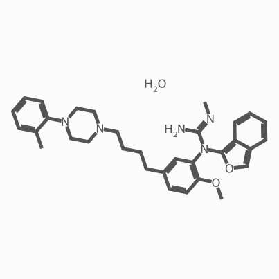 CN=C(N)N(c1cc(CCCCN2CCN(c3ccccc3C)CC2)ccc1OC)c1occ2ccccc12.O